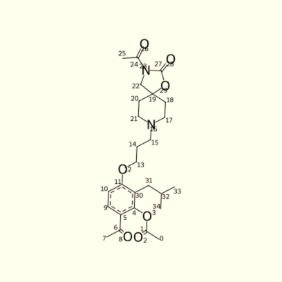 CC(=O)Oc1c(C(C)=O)ccc(OCCCN2CCC3(CC2)CN(C(C)=O)C(=O)O3)c1CC(C)C